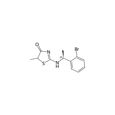 CC1SC(N[C@@H](C)c2ccccc2Br)=NC1=O